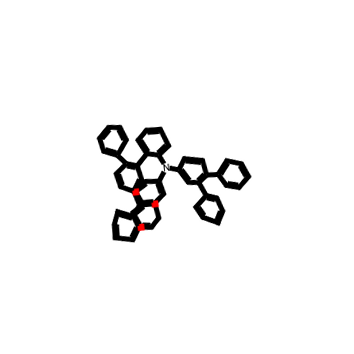 C1=CCCC(c2ccc(-c3ccccc3)c(-c3ccccc3N(c3ccc(-c4ccccc4)cc3)c3ccc(-c4ccccc4)c(-c4ccccc4)c3)c2)=C1